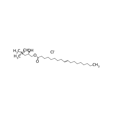 CCCCCCCCC=CCCCCCCCC(=O)OCC(O)C[N+](C)(C)C.[Cl-]